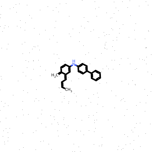 C=c1ccc(Nc2ccc(-c3ccccc3)cc2)c/c1=C/C=C\C